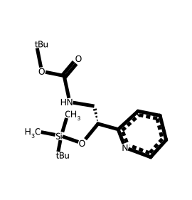 CC(C)(C)OC(=O)NC[C@@H](O[Si](C)(C)C(C)(C)C)c1ccccn1